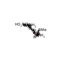 COCCOc1nc(N)c2nc(Br)n(Cc3ccc(C(=O)OOCCOc4nc(N)c5nc(O)n(Cc6ccc(C(=O)O)cc6)c5n4)cc3)c2n1